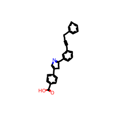 O=C(O)c1ccc(C2=CN=C(c3cccc(C#CCc4ccccc4)c3)C2)cc1